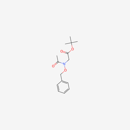 CC(=O)N(CC(=O)OC(C)(C)C)OCc1ccccc1